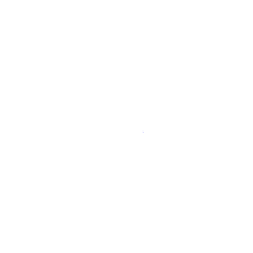 Cc1ccc2c(c1)Cc1c(O)ccc3c1N2CCC3